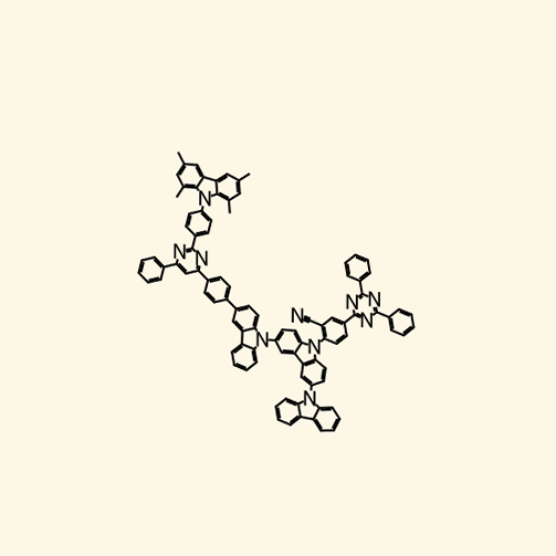 Cc1cc(C)c2c(c1)c1cc(C)cc(C)c1n2-c1ccc(-c2nc(-c3ccccc3)cc(-c3ccc(-c4ccc5c(c4)c4ccccc4n5-c4ccc5c(c4)c4cc(-n6c7ccccc7c7ccccc76)ccc4n5-c4ccc(-c5nc(-c6ccccc6)nc(-c6ccccc6)n5)cc4C#N)cc3)n2)cc1